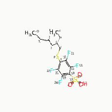 CCCCC(CC)CSc1c(F)c(F)c(S(=O)(=O)O)c(F)c1F